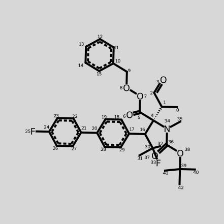 CC(C=O)[C@@](C(=O)OOCc1ccccc1)(C(c1ccc(-c2ccc(F)cc2)cc1)C(C)(C)F)N(C)C(=O)OC(C)(C)C